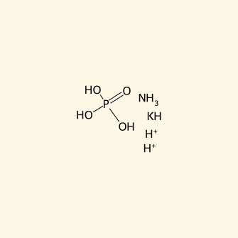 N.O=P(O)(O)O.[H+].[H+].[KH]